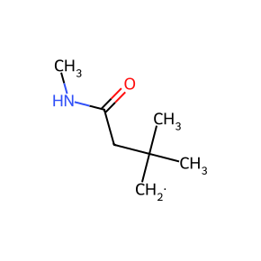 [CH2]C(C)(C)CC(=O)NC